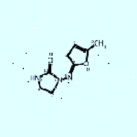 CC1=CCC(=NN2CCNC2=O)O1